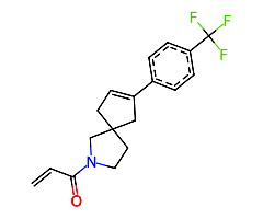 C=CC(=O)N1CCC2(CC=C(c3ccc(C(F)(F)F)cc3)C2)C1